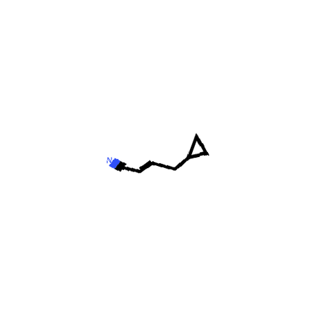 N#C/C=C/CC1CC1